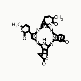 CC1C=CC(C2=CC3=NC/2=N\C2=C4C5C=CC(C)C(=O)SC45C(/N=C4N=C(/N=c5\[nH]/c(c6c5C5SC(=O)C7CC675)=N\3)C3=C\4C4C=CC3C(=O)S4)N2)C(=O)S1